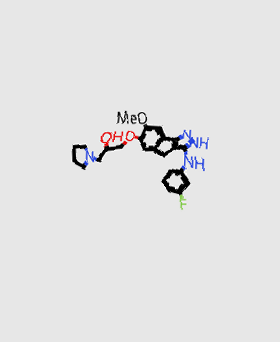 COc1cc2c(cc1OCC(O)CN1CCCC1)Cc1c-2n[nH]c1Nc1cccc(F)c1